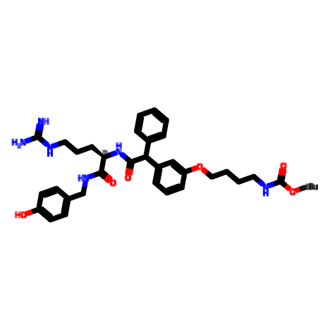 CC(C)(C)OC(=O)NCCCCOc1cccc(C(C(=O)N[C@H](CCCNC(=N)N)C(=O)NCc2ccc(O)cc2)c2ccccc2)c1